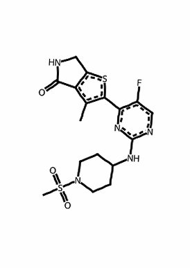 Cc1c(-c2nc(NC3CCN(S(C)(=O)=O)CC3)ncc2F)sc2c1C(=O)NC2